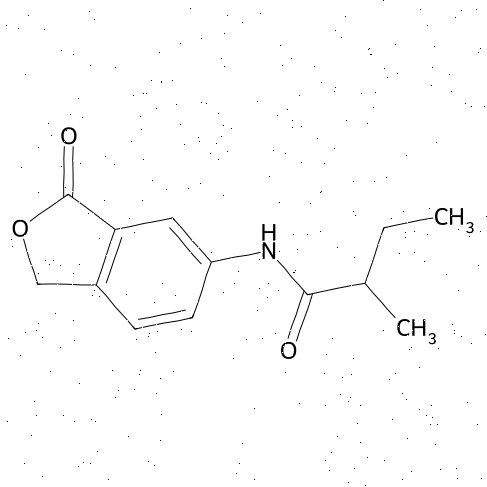 CCC(C)C(=O)Nc1ccc2c(c1)C(=O)OC2